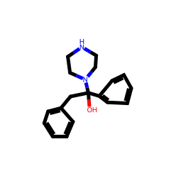 OC(Cc1ccccc1)(c1ccccc1)N1CCNCC1